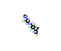 C#Cc1cc(F)cnc1-c1c(F)c(F)c(C(=O)Nc2cnc(-n3nccn3)c(Cl)c2)c(F)c1F